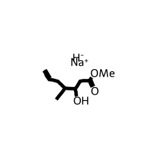 C=CCC(C)C(O)CC(=O)OC.[H-].[Na+]